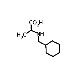 CC(NCC1CCCCC1)C(=O)O